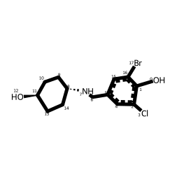 Oc1c(Cl)cc(CN[C@H]2CC[C@H](O)CC2)cc1Br